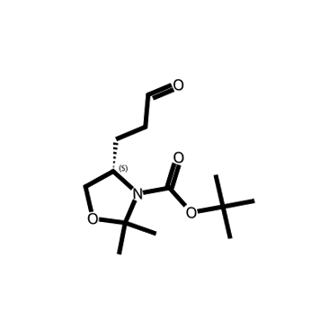 CC(C)(C)OC(=O)N1[C@@H](CCC=O)COC1(C)C